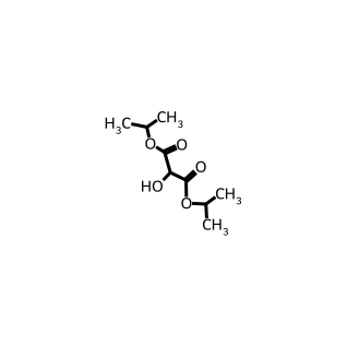 CC(C)OC(=O)C(O)C(=O)OC(C)C